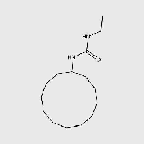 CCNC(=O)NC1CCCCCCCCCCC1